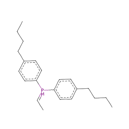 CC=[PH](c1ccc(CCCC)cc1)c1ccc(CCCC)cc1